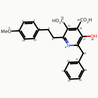 COc1ccc(CCc2nc(Cc3ccccc3)c(O)c(C(=O)O)c2C(=O)O)cc1